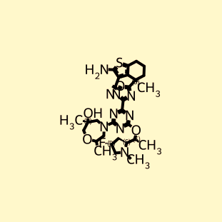 CC1CN(c2nc(O[C@@H](C)[C@@H]3C[C@@H](F)CN3C)nc(-c3noc([C@@]4(C)CCCc5sc(N)c(C#N)c54)n3)n2)C[C@@](C)(O)CO1